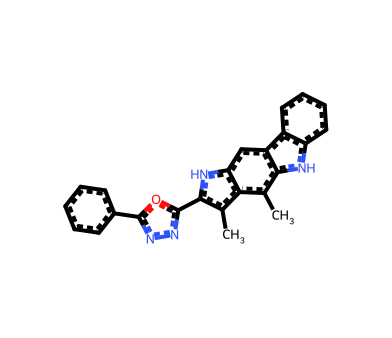 Cc1c(-c2nnc(-c3ccccc3)o2)[nH]c2cc3c([nH]c4ccccc43)c(C)c12